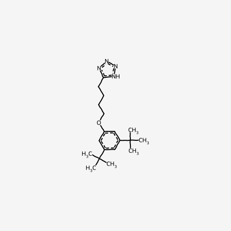 CC(C)(C)c1cc(OCCCCc2nnn[nH]2)cc(C(C)(C)C)c1